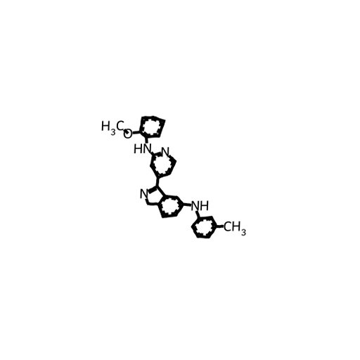 COc1ccccc1Nc1cc(C2=NCc3ccc(Nc4cccc(C)c4)cc32)ccn1